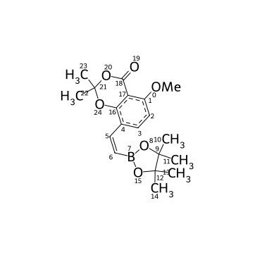 COc1ccc(/C=C\B2OC(C)(C)C(C)(C)O2)c2c1C(=O)OC(C)(C)O2